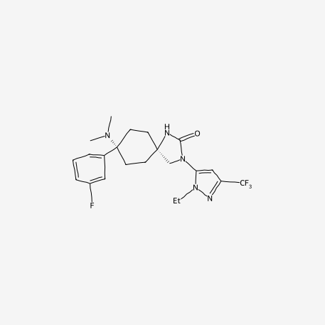 CCn1nc(C(F)(F)F)cc1N1C[C@]2(CC[C@@](c3cccc(F)c3)(N(C)C)CC2)NC1=O